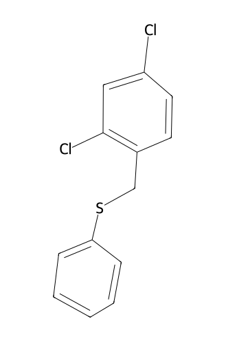 Clc1ccc(CSc2ccccc2)c(Cl)c1